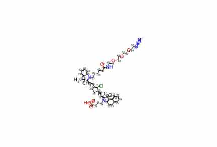 CC1(C)C(/C=C/C2=C(Cl)C(=C/C=C3/N(CCCS(=O)(=O)O)c4ccc5ccccc5c4C3(C)C)/CC2)=[N+](CCCCCC(=O)NCCOCCOCCOCCN=[N+]=[N-])c2ccccc21